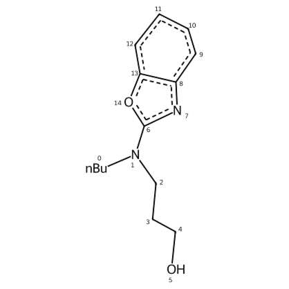 CCCCN(CCCO)c1nc2ccccc2o1